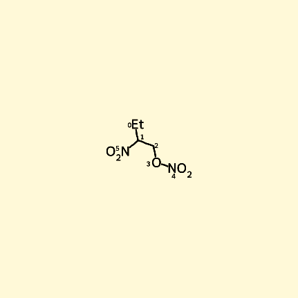 CCC(CO[N+](=O)[O-])[N+](=O)[O-]